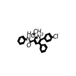 COc1nc(-c2ccc(Cl)cc2)c(-c2ccccc2)cc1C(=O)Nc1ccccc1